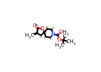 C=C1CC2(CCN(C(=O)OC(C)(C)C)CC2)OC1=O